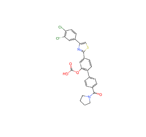 O=C(O)Oc1cc(-c2nc(-c3ccc(Cl)c(Cl)c3)cs2)ccc1-c1ccc(C(=O)N2CCCC2)cc1